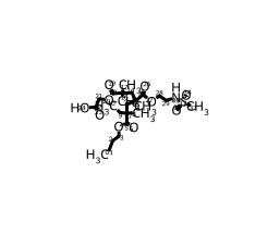 CCCCOC(=O)C(C)(CC)CC(C)(CC(C)(C)C(=O)OCC(=O)O)C(=O)OCCNS(C)(=O)=O